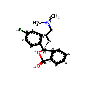 CN(C)CCC[C@@]1(c2ccc(F)cc2)OC(=O)c2ccccc21